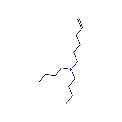 C=CCCCCN(CCCC)CCCC